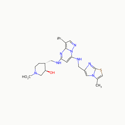 Cc1csc2nc(CNc3cc(NC[C@H]4CCN(C(=O)O)C[C@@H]4O)nc4c(C(C)C)cnn34)cn12